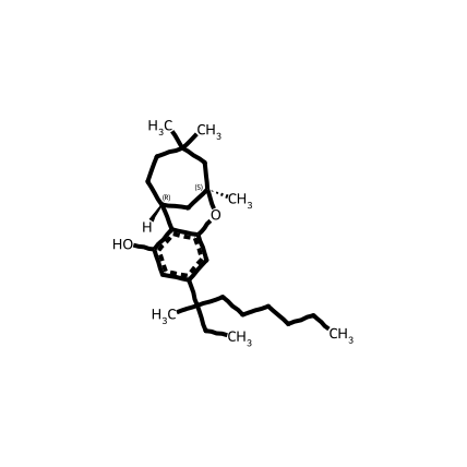 CCCCCCC(C)(CC)c1cc(O)c2c(c1)O[C@@]1(C)C[C@H]2CCC(C)(C)C1